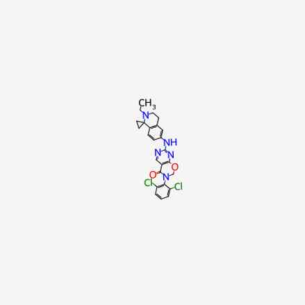 CCN1CCc2cc(Nc3ncc4c(n3)OCN(c3c(Cl)cccc3Cl)C4=O)ccc2C12CC2